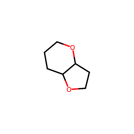 C1COC2CCOC2C1